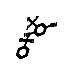 O=S(=O)(Nc1ccc(O)cc1C(F)(F)F)c1ccccc1